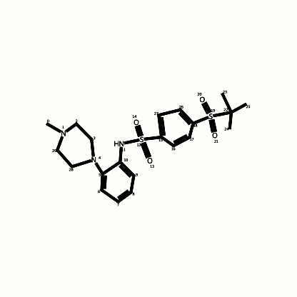 CN1CCN(c2ccccc2NS(=O)(=O)c2ccc(S(=O)(=O)C(C)(C)C)cc2)CC1